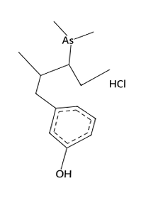 CCC(C(C)Cc1cccc(O)c1)[As](C)C.Cl